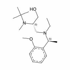 CCN(C[C@@H](CO)N(C)C(C)(C)C)[C@@H](C)c1ccccc1OC